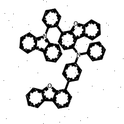 c1ccc(N(c2ccc(-c3cccc4c3oc3ccccc34)cc2)c2ccc(-c3ccccc3-n3c4ccccc4c4ccccc43)c3oc4ccccc4c23)cc1